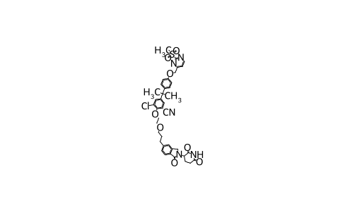 CC(C)(c1ccc(OCc2ccnc(S(C)(=O)=O)n2)cc1)c1cc(Cl)c(OCCOCCCc2ccc3c(c2)CN(C2CCC(=O)NC2=O)C3=O)c(C#N)c1